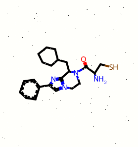 NC(CS)C(=O)N1CCn2cc(-c3ccccc3)nc2C1CC1CCCCC1